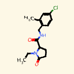 CCN1C(=O)CCC1C(=O)NCc1ccc(Cl)cc1C